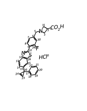 Cl.O=C(O)C1CN(Cc2ccc(-c3nc4ccc(C5(c6ccccc6)C=C5)cc4s3)c(F)c2)C1